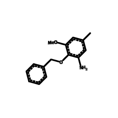 COc1cc(C)cc(N)c1OCc1ccccc1